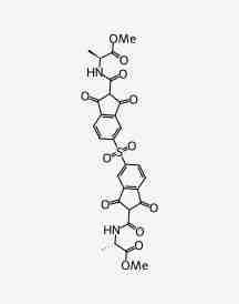 COC(=O)[C@H](C)NC(=O)C1C(=O)c2ccc(S(=O)(=O)c3ccc4c(c3)C(=O)C(C(=O)N[C@@H](C)C(=O)OC)C4=O)cc2C1=O